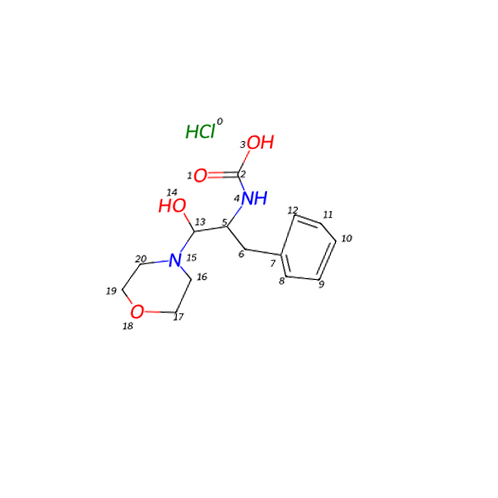 Cl.O=C(O)NC(Cc1ccccc1)C(O)N1CCOCC1